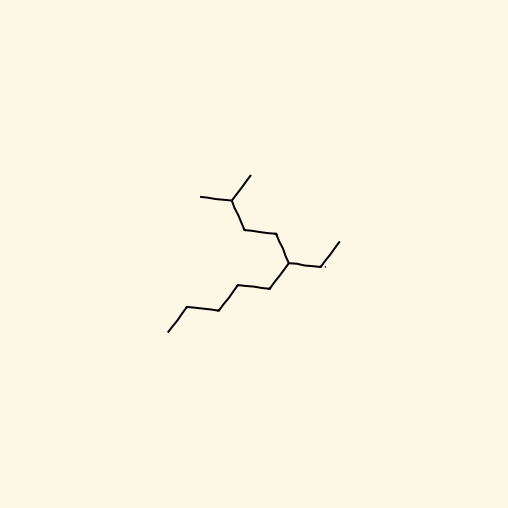 C[CH]C(CCCCC)CCC(C)C